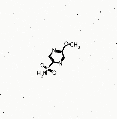 COc1cnc(S(N)(=O)=O)cn1